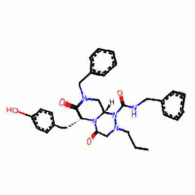 CCCN1CC(=O)N2[C@H](Cc3ccc(O)cc3)C(=O)N(Cc3ccccc3)C[C@@H]2N1C(=O)NCc1ccccc1